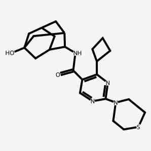 O=C(NC1C2CC3CC1CC(O)(C3)C2)c1cnc(N2CCSCC2)nc1C1CCC1